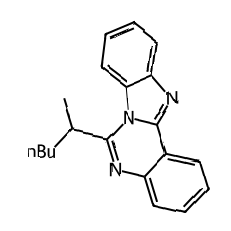 CCCCC(C)c1nc2ccccc2c2nc3ccccc3n12